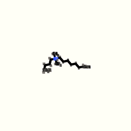 CCCCCCCCCCCCCCC[N+](C)(C)CCCC(=O)O